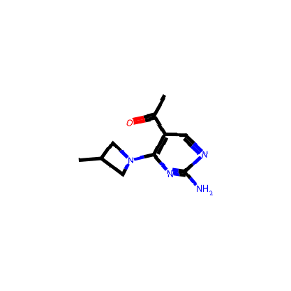 CC(=O)c1cnc(N)nc1N1CC(C)C1